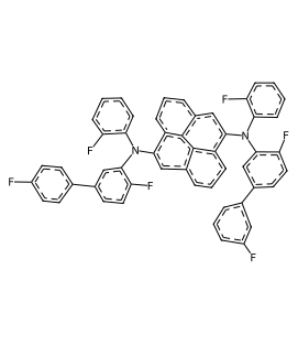 Fc1ccc(-c2ccc(F)c(N(c3ccccc3F)c3cc4cccc5c(N(c6ccccc6F)c6cc(-c7cccc(F)c7)ccc6F)cc6cccc3c6c45)c2)cc1